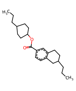 CCCC1CCC(OC(=O)c2ccc3c(c2)CCC(CCC)C3)CC1